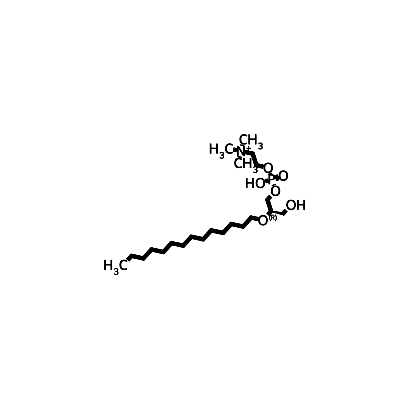 CCCCCCCCCCCCCCO[C@H](CO)COP(=O)(O)OCC[N+](C)(C)C